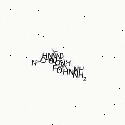 CC(C)[C@H](NC(=O)c1ccc(C#N)cc1)C(=O)N1CCC[C@H]1C(=O)N[C@@](C=O)(CCF)CCCNC(=N)N